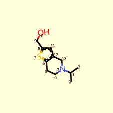 CC(C)N1CCc2sc(CO)cc2C1